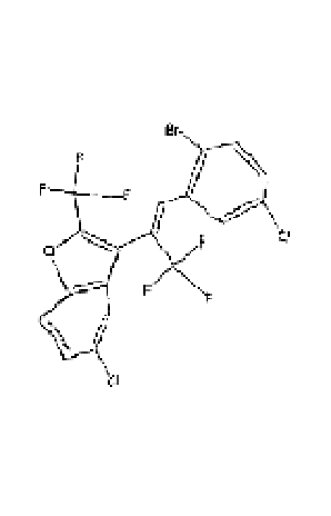 FC(F)(F)C(=Cc1cc(Cl)ccc1Br)c1c(C(F)(F)F)oc2ccc(Cl)cc12